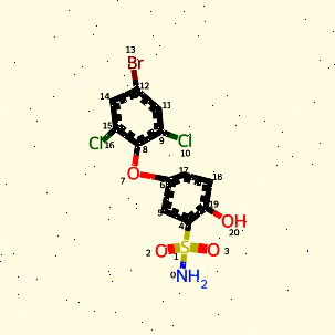 NS(=O)(=O)c1cc(Oc2c(Cl)cc(Br)cc2Cl)ccc1O